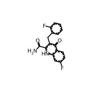 NC(=O)c1[nH]c2cc(F)ccc2c(=O)c1[CH]c1ccccc1F